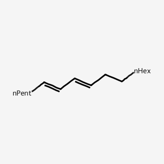 CCCCCC=CC=CCCCCCCCC